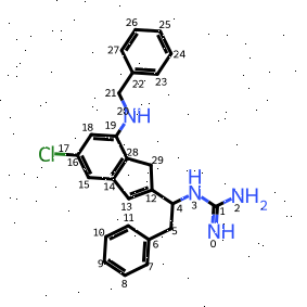 N=C(N)NC(Cc1ccccc1)C1=Cc2cc(Cl)cc(NCc3ccccc3)c2C1